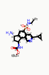 CC(C)CNS(=O)(=O)c1cc2c(c3cnc(C4CC4)cc13)C(NC(=O)OC(C)(C)C)C[C@@H]2N